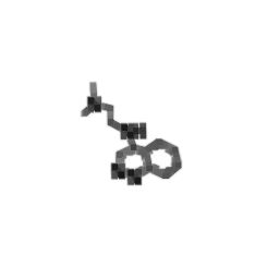 CN(C)CCNc1cnnc2ccccc12